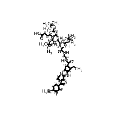 CCc1cc(Nc2nccn3c(-c4ccc(OC)c(F)c4F)cnc23)ccc1C(=O)NCCNC(=O)[C@H](CCCN/C(=N/C(=O)OC(C)(C)C)N(CCCC(=O)O)C(=O)OC(C)(C)C)NC(=O)OC(C)(C)C